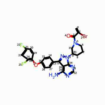 C=C(Br)C(=O)N1CCC[C@@H](n2nc(-c3ccc(Oc4ccc(F)cc4F)cc3)c3c(N)ncnc32)C1